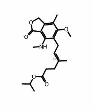 CNc1c(C/C=C(\C)CCC(=O)OC(C)C)c(OC)c(C)c2c1C(=O)OC2